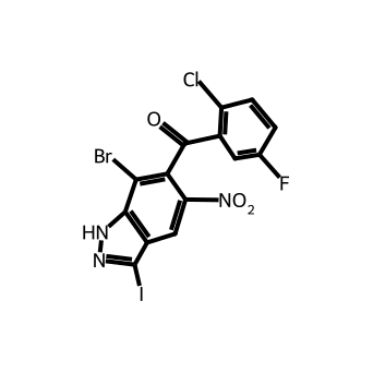 O=C(c1cc(F)ccc1Cl)c1c([N+](=O)[O-])cc2c(I)n[nH]c2c1Br